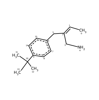 C/C=C(\CN)Cc1ccc(C(C)(C)C)cc1